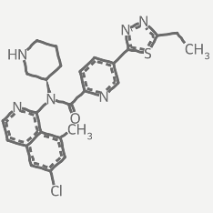 CCc1nnc(-c2ccc(C(=O)N(c3nccc4cc(Cl)cc(C)c34)[C@@H]3CCCNC3)nc2)s1